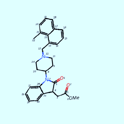 COC(=O)CC1C(=O)N(C2CCN(Cc3cccc4cccc(C)c34)CC2)c2ccccc21